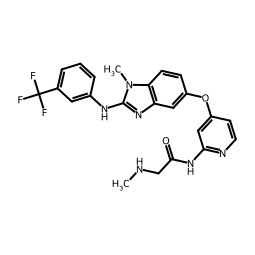 CNCC(=O)Nc1cc(Oc2ccc3c(c2)nc(Nc2cccc(C(F)(F)F)c2)n3C)ccn1